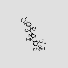 CCCCCOc1ccc(Nc2nc(C(=O)Nc3ccc(C(F)(F)F)nc3)cs2)cc1C(F)(F)F